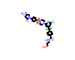 NC1CC(=O)N(c2ccc(S(=O)(=O)N3CCN(c4cc(C(F)(F)c5ccc(C(=O)NCCCO)cc5)cc(Cl)n4)CC3)cc2)C1